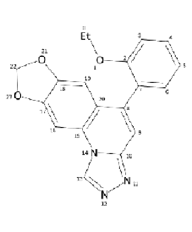 CCOc1ccccc1-c1cc2nncn2c2cc3c(cc12)OCO3